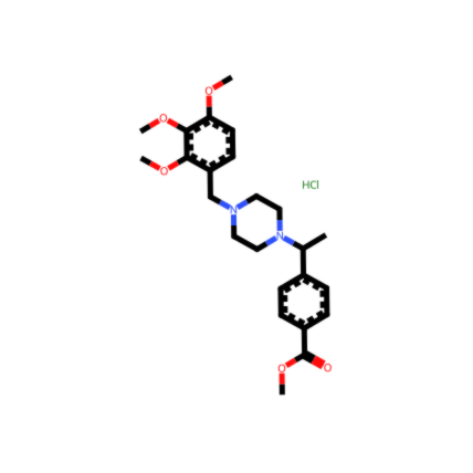 COC(=O)c1ccc(C(C)N2CCN(Cc3ccc(OC)c(OC)c3OC)CC2)cc1.Cl